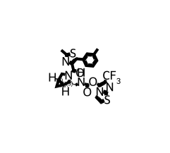 Cc1cccc(-c2sc(C)nc2C(=O)N2C[C@@H]3C[C@@H]3[C@H]2CNC(=O)Oc2c(C(F)(F)F)nc3sccn23)c1